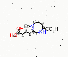 CCN1CCC[C@@H](C(=O)O)NC[C@H]1CCCB(O)O